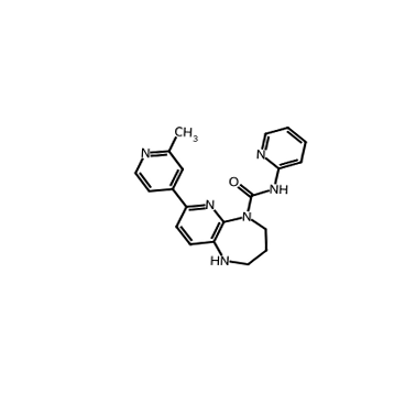 Cc1cc(-c2ccc3c(n2)N(C(=O)Nc2ccccn2)CCCN3)ccn1